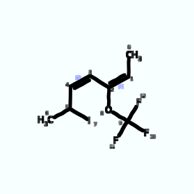 C/C=C(\C=C/C(C)I)OC(F)(F)F